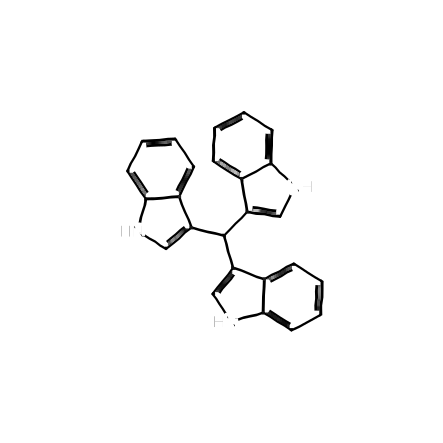 c1ccc2c(C(c3c[nH]c4ccccc34)c3c[nH]c4ccccc34)c[nH]c2c1